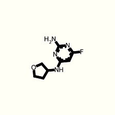 Nc1nc(F)cc(NC2CCOC2)n1